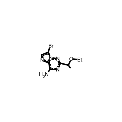 CCOC(C)c1nc(N)c2ncc(Br)n2n1